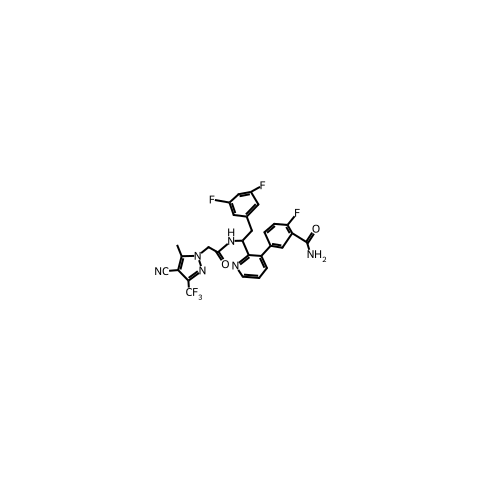 Cc1c(C#N)c(C(F)(F)F)nn1CC(=O)NC(Cc1cc(F)cc(F)c1)c1ncccc1-c1ccc(F)c(C(N)=O)c1